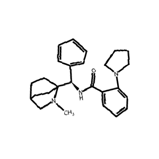 CN1CC2CCC1([C@H](NC(=O)c1ccccc1N1CCCC1)c1ccccc1)CC2